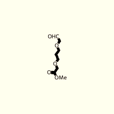 COC(=O)COCCCOCC=O